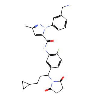 Cc1cc(C(=O)Nc2cc(C(CCC3CC3)N3C(=O)CCC3=O)ccc2F)n(-c2cccc(CN)c2)n1